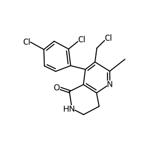 Cc1nc2c(c(-c3ccc(Cl)cc3Cl)c1CCl)C(=O)NCC2